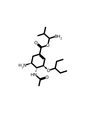 BC(OC(=O)C1=C[C@@H](OC(CC)CC)[C@H](NC(C)=O)[C@@H](N)C1)C(C)C